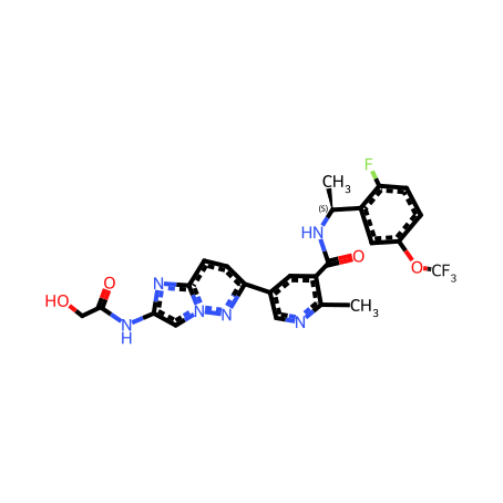 Cc1ncc(-c2ccc3nc(NC(=O)CO)cn3n2)cc1C(=O)N[C@@H](C)c1cc(OC(F)(F)F)ccc1F